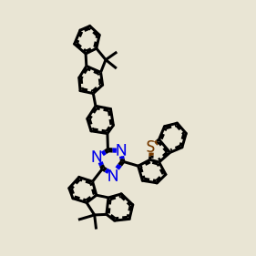 CC1(C)c2ccccc2-c2ccc(-c3ccc(-c4nc(-c5cccc6c5-c5ccccc5C6(C)C)nc(-c5cccc6c5sc5ccccc56)n4)cc3)cc21